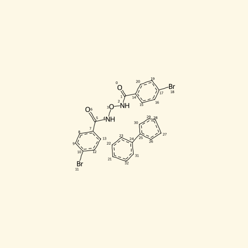 O=C(NONC(=O)c1ccc(Br)cc1)c1ccc(Br)cc1.c1ccc(-c2ccccc2)cc1